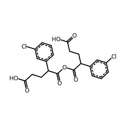 O=C(O)CCC(C(=O)OC(=O)C(CCC(=O)O)c1cccc(Cl)c1)c1cccc(Cl)c1